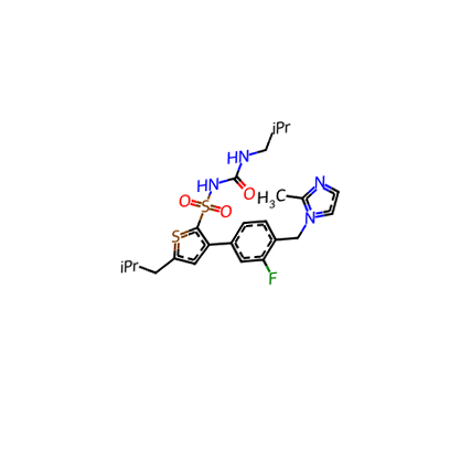 Cc1nccn1Cc1ccc(-c2cc(CC(C)C)sc2S(=O)(=O)NC(=O)NCC(C)C)cc1F